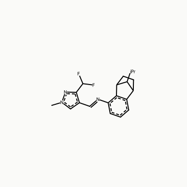 CC(C)C1C2CCC1c1c(/N=C/c3cn(C)nc3C(F)F)cccc12